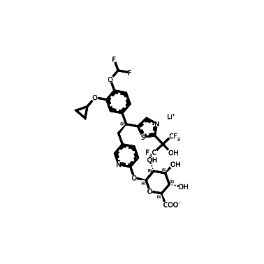 O=C([O-])[C@H]1O[C@@H](Oc2ccc(C[C@@H](c3ccc(OC(F)F)c(OC4CC4)c3)c3cnc(C(O)(C(F)(F)F)C(F)(F)F)s3)cn2)[C@H](O)[C@@H](O)[C@@H]1O.[Li+]